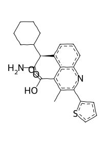 Cc1c(-c2cccs2)nc2cccc([C@@H](C(N)=O)C3CCCCC3)c2c1C(=O)O